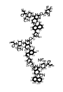 C=CC(=O)N1CCN(c2nc(OC[C@@H]3CC(c4ccc(N5CCc6c(nc(OC[C@@H]7CC(F)(F)CN7C)nc6N6CCN(C(=O)C=C)[C@@H](CC#N)C6)C5)c5c(C)cccc45)CN3C)nc3c2CCN(c2c(C)c(C)cc4c2ccn4C2C[C@@H](COc4nc5c(c(N6CCN(C(=O)C=C)[C@@H](CC#N)C6)n4)CCN(c4cccc6cccc(C#N)c46)C5)N(C)C2)C3)C[C@@H]1CC#N